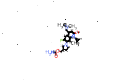 Cc1c(N2CCC(COC(N)=O)C2)c(F)cc2c(CN(C)C)cc(=O)n(C3CC3)c12